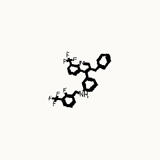 Fc1c(CNc2cccc(-c3c(Cc4ccccc4)cnc4c(C(F)(F)F)cccc34)c2)cccc1C(F)(F)F